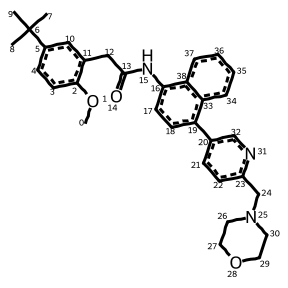 COc1ccc(C(C)(C)C)cc1CC(=O)Nc1ccc(-c2ccc(CN3CCOCC3)nc2)c2ccccc12